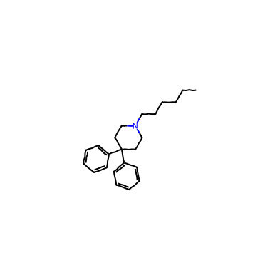 CCCCCCN1CCC(c2ccccc2)(c2ccccc2)CC1